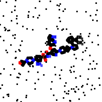 CC(C)c1ccccc1C1CCCN1C1CC2(CCN(c3cc(Oc4cnc5[nH]ccc5c4)c(C(=O)NS(=O)(=O)c4ccc(N5CCN(C6COC6)CC5)c(N)c4)cn3)CC2)C1